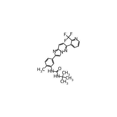 Cc1ccc(-c2cn3nc(-c4cccnc4C(F)(F)F)ccc3n2)cc1NC(=O)NC(C)(C)C